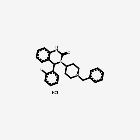 Cl.O=C1Nc2ccccc2C(c2ccccc2F)N1C1CCN(Cc2ccccc2)CC1